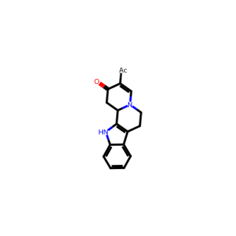 CC(=O)C1=CN2CCc3c([nH]c4ccccc34)C2CC1=O